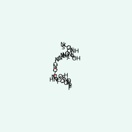 Cc1ncsc1-c1ccc([C@H](C)NC(=O)[C@@H]2C[C@@H](O)CN2C(=O)[C@H](c2cc(N3CCN(CC4CCN(c5ccc(-c6cnc7[nH]cc(C(=O)c8c(F)ccc(NS(=O)(=O)N9CC[C@@H](F)C9)c8F)c7c6)cc5)CC4)CC3)n(C)n2)C(C)C)cc1